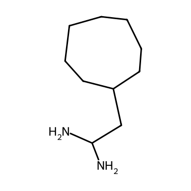 NC(N)CC1CCCCCCC1